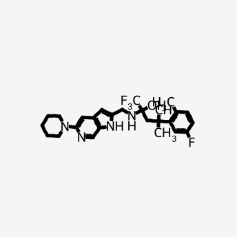 Cc1ccc(F)cc1C(C)(C)CC(O)(NCc1cc2cc(N3CCCCC3)ncc2[nH]1)C(F)(F)F